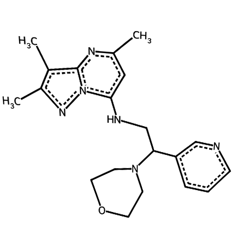 Cc1cc(NCC(c2cccnc2)N2CCOCC2)n2nc(C)c(C)c2n1